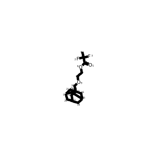 CC(F)(F)C(=O)OCCOCC12CC3CC(C1)C(O)C(C3)C2